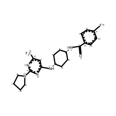 O=C(N[C@H]1CC[C@@H](Nc2cc(C(F)(F)F)nc(N3CCCC3)n2)CC1)c1ccc(F)cc1